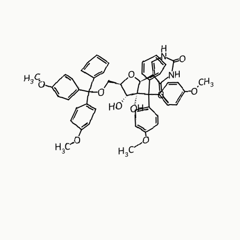 COc1ccc(C(OC[C@H]2O[C@@H](c3c[nH]c(=O)[nH]c3=O)[C@@](O)(C(c3ccccc3)(c3ccc(OC)cc3)c3ccc(OC)cc3)[C@@H]2O)(c2ccccc2)c2ccc(OC)cc2)cc1